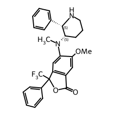 COc1cc2c(cc1N(C)[C@H]1CCCN[C@H]1c1ccccc1)C(c1ccccc1)(C(F)(F)F)OC2=O